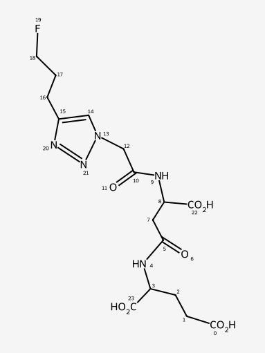 O=C(O)CCC(NC(=O)CC(NC(=O)Cn1cc(CCCF)nn1)C(=O)O)C(=O)O